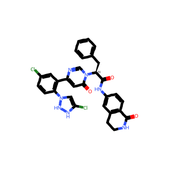 O=C1NCCc2cc(NC(=O)[C@H](Cc3ccccc3)n3cnc(-c4cc(Cl)ccc4N4C=C(Cl)NN4)cc3=O)ccc21